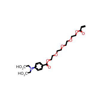 C=CC(=O)OCCOCCOCCOCCOC(=O)c1ccc(N(CC(=O)O)CC(=O)O)cc1